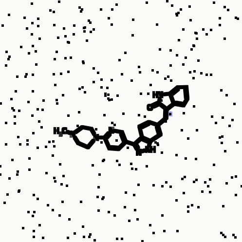 CN1CCN(c2ccc(-c3n[nH]c4cc(/C=C5\C(=O)Nc6ccccc65)ccc34)cn2)CC1